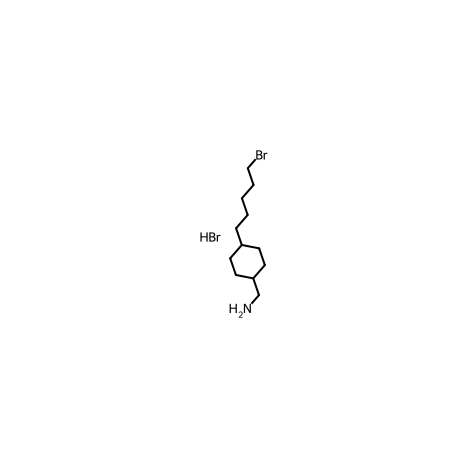 Br.NCC1CCC(CCCCCBr)CC1